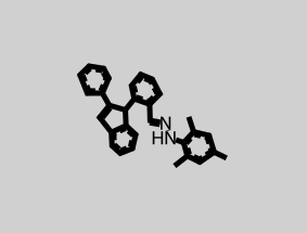 Cc1cc(C)c(NN=Cc2ccccc2C2C(c3ccccc3)=Cc3ccccc32)c(C)c1